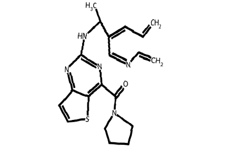 C=C/C=C(\C=N/C=C)C(C)Nc1nc(C(=O)N2CCCC2)c2sccc2n1